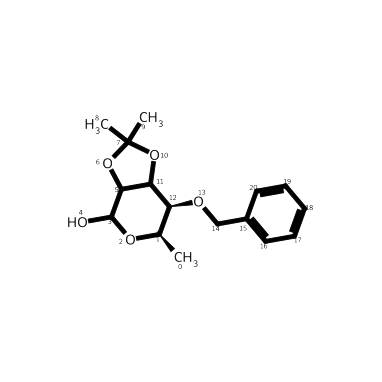 C[C@H]1OC(O)C2OC(C)(C)OC2[C@H]1OCc1ccccc1